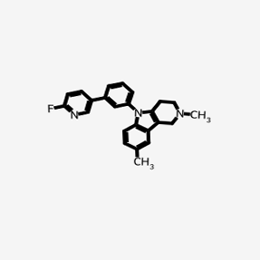 Cc1ccc2c(c1)c1c(n2-c2cccc(-c3ccc(F)nc3)c2)CCN(C)C1